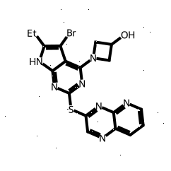 CCc1[nH]c2nc(Sc3cnc4cccnc4n3)nc(N3CC(O)C3)c2c1Br